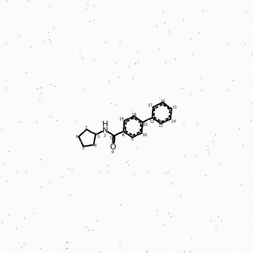 O=C(NC1CCCC1)c1ccc(-c2ccccc2)cc1